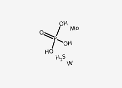 O=P(O)(O)O.S.[Mo].[W]